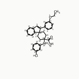 CCOc1cccc(C2=Cc3ccccc3C23CCC(Nc2cccc(Cl)c2)(C(=O)O)CC3)c1